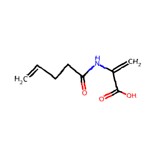 C=CCCC(=O)NC(=C)C(=O)O